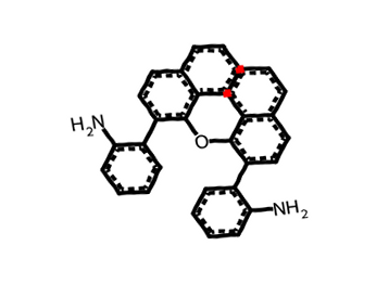 Nc1ccccc1-c1ccc2ccccc2c1Oc1c(-c2ccccc2N)ccc2ccccc12